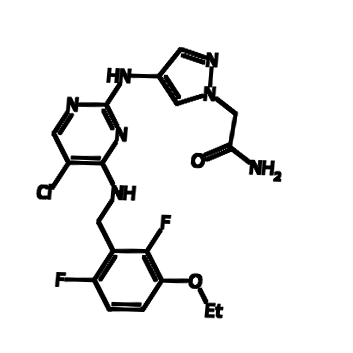 CCOc1ccc(F)c(CNc2nc(Nc3cnn(CC(N)=O)c3)ncc2Cl)c1F